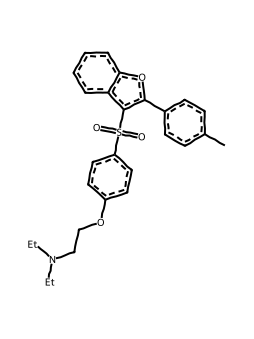 CCN(CC)CCOc1ccc(S(=O)(=O)c2c(-c3ccc(C)cc3)oc3ccccc23)cc1